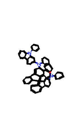 c1ccc(N(c2ccccc2)c2ccc3c(c2)C2(c4ccccc4-3)c3ccccc3-c3cc(N(c4ccccc4)c4ccc5c6ccccc6n(-c6ccccc6)c5c4)c4ccccc4c32)cc1